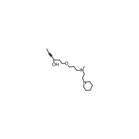 CC#CC(O)CCOCCCN(C)CCN1CCCCC1